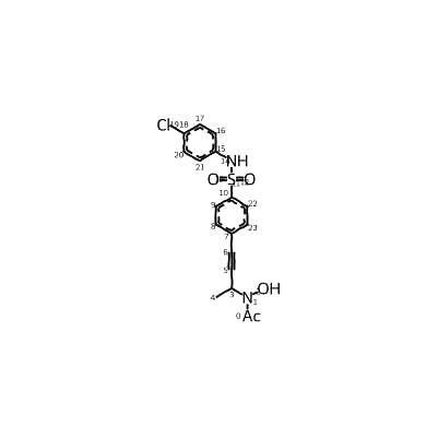 CC(=O)N(O)C(C)C#Cc1ccc(S(=O)(=O)Nc2ccc(Cl)cc2)cc1